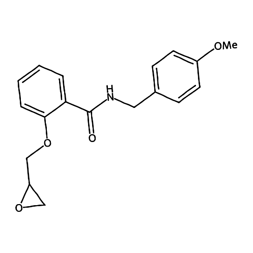 COc1ccc(CNC(=O)c2ccccc2OCC2CO2)cc1